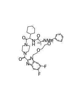 CN[C@@H](C)C(=O)NC(C(=O)N1CCN(C(=O)c2nc3cc(F)c(F)cc3n2CCOCCOCc2ccccc2)CC1)C1CCCCC1